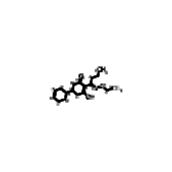 CCC/C(=N\OCC)C1=C(O)CC(C2CC=CCC2)CC1=O